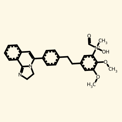 COc1cc(CCc2ccc(C3=Cc4ccccc4C4=NCCN34)cc2)cc([N+](C)(O)C=O)c1OC